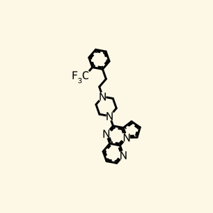 FC(F)(F)c1ccccc1CCN1CCN(c2nc3cccnc3n3cccc23)CC1